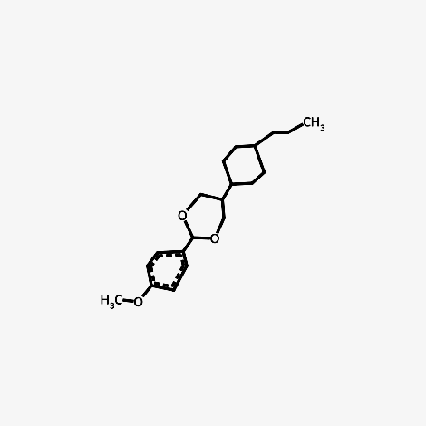 CCCC1CCC(C2COC(c3ccc(OC)cc3)OC2)CC1